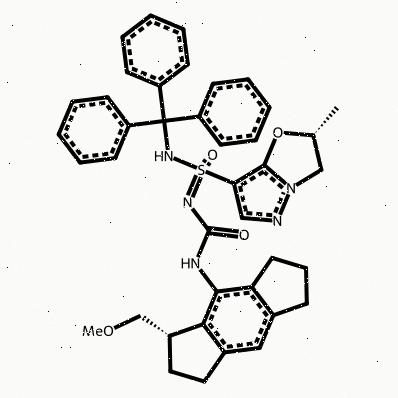 COC[C@H]1CCc2cc3c(c(NC(=O)N=S(=O)(NC(c4ccccc4)(c4ccccc4)c4ccccc4)c4cnn5c4O[C@H](C)C5)c21)CCC3